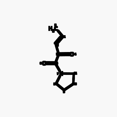 CC=CC(=O)C(=O)N1CCCC1